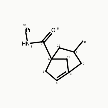 CC1CC2=CCC(C(=O)NC(C)C)(C2)C1